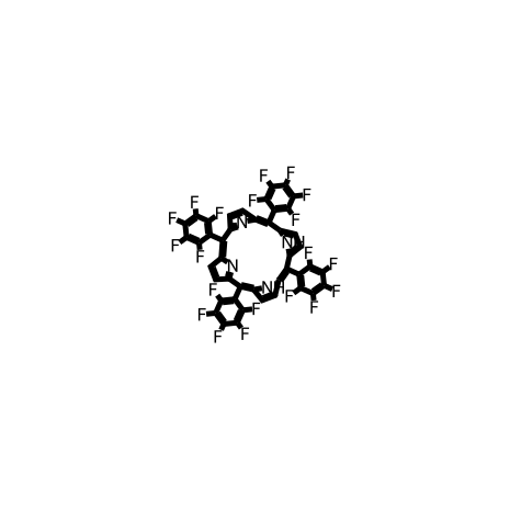 Fc1c(F)c(F)c(-c2c3nc(c(-c4c(F)c(F)c(F)c(F)c4F)c4ccc([nH]4)c(-c4c(F)c(F)c(F)c(F)c4F)c4ccc([nH]4)c(-c4c(F)c(F)c(F)c(F)c4F)c4nc2C=C4)C=C3)c(F)c1F